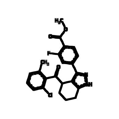 COC(=O)c1ccc(-c2n[nH]c3c2C(C(=O)c2c(C)cccc2Cl)CCC3)cc1F